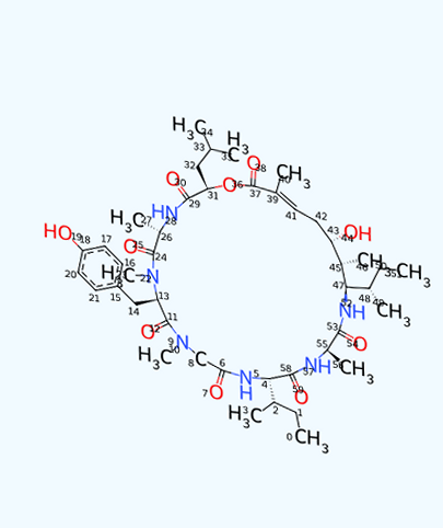 CCC(C)[C@@H]1NC(=O)CN(C)C(=O)[C@@H](Cc2ccc(O)cc2)N(C)C(=O)[C@H](C)NC(=O)[C@@H](CC(C)C)OC(=O)/C(C)=C/C[C@H](O)[C@H](C)[C@@H]([C@@H](C)CC)NC(=O)[C@@H](C)NC1=O